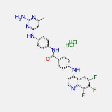 Cc1cc(Nc2ccc(NC(=O)c3ccc(Nc4ccnc5c(F)c(F)c(F)cc45)cc3)cc2)nc(N)n1.Cl.Cl